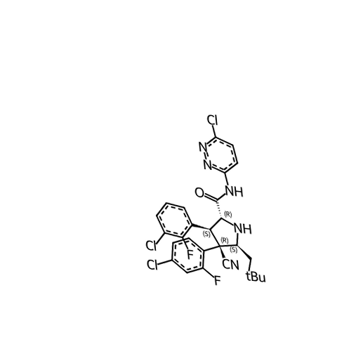 CC(C)(C)C[C@@H]1N[C@@H](C(=O)Nc2ccc(Cl)nn2)[C@H](c2cccc(Cl)c2F)[C@@]1(C#N)c1ccc(Cl)cc1F